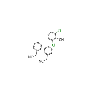 N#CCc1ccccc1.N#CCc1ccccc1.N#Cc1c(Cl)cccc1Cl